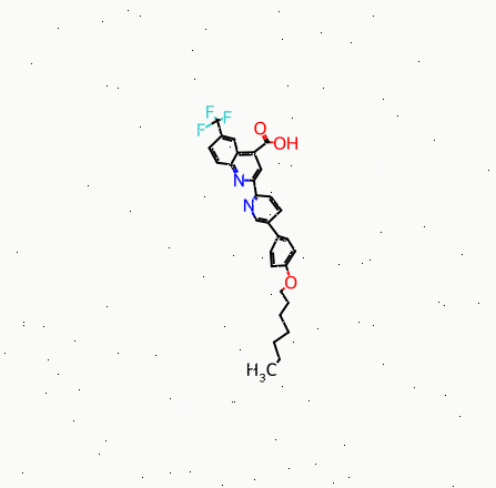 CCCCCCCOc1ccc(-c2ccc(-c3cc(C(=O)O)c4cc(C(F)(F)F)ccc4n3)nc2)cc1